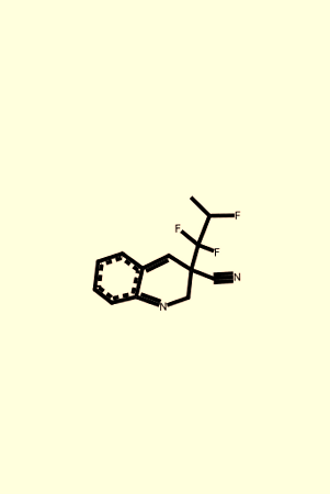 CC(F)C(F)(F)C1(C#N)C=c2ccccc2=NC1